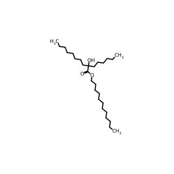 CCCCCCCCCCCCOC(=O)C(O)(CCCCCC)CCCCCCCC